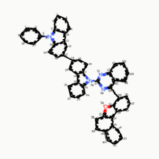 c1ccc(-n2c3ccccc3c3cc(-c4ccc5c(c4)c4ccccc4n5-c4nc(-c5cccc6c5oc5ccc7ccccc7c56)c5ccccc5n4)ccc32)cc1